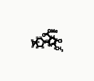 COC(=O)c1cc(Cl)c(C)nc1N1CCC2(CC1)CC2